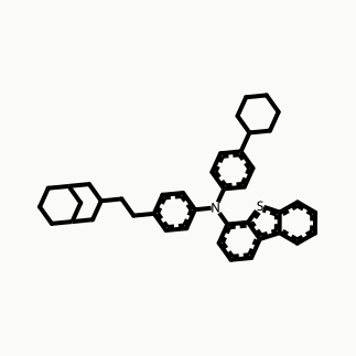 c1ccc2c(c1)sc1c(N(c3ccc(CCC4CC5CCCC(C5)C4)cc3)c3ccc(C4CCCCC4)cc3)cccc12